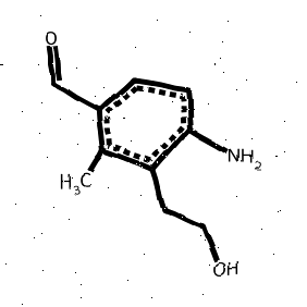 Cc1c(C=O)ccc(N)c1CCO